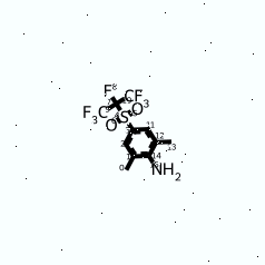 Cc1cc(S(=O)(=O)C(F)(C(F)(F)F)C(F)(F)F)cc(C)c1N